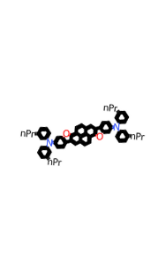 CCCc1cccc(N(c2cccc(CCC)c2)c2ccc3c(c2)oc2c3cc3ccc4c5oc6cc(N(c7cccc(CCC)c7)c7cccc(CCC)c7)ccc6c5cc5ccc2c3c54)c1